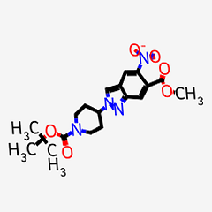 COC(=O)c1cc2nn(C3CCN(C(=O)OC(C)(C)C)CC3)cc2cc1[N+](=O)[O-]